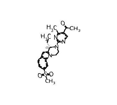 CC[C@H]1c2cc3ccc(S(C)(=O)=O)cc3n2CCN1c1ncc(C(C)=O)c(C)n1